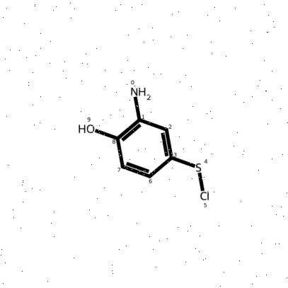 Nc1cc(SCl)ccc1O